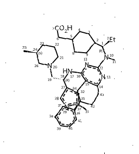 CC[C@H](C1CCC(CC(=O)O)CC1)N(C)c1nc2c(c(N[C@@H](CN3CCC[C@H](C)C3)c3cnn(C)c3)n1)C[C@H](c1ccccc1)CC2